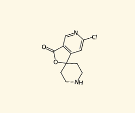 O=C1OC2(CCNCC2)c2cc(Cl)ncc21